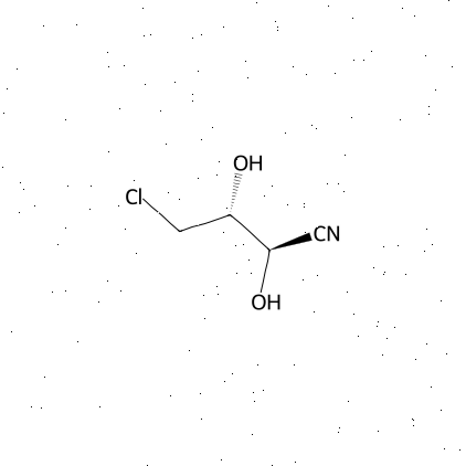 N#C[C@@H](O)[C@@H](O)CCl